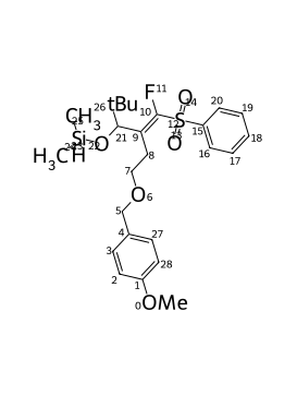 COc1ccc(COCC/C(=C(/F)S(=O)(=O)c2ccccc2)C(O[SiH](C)C)C(C)(C)C)cc1